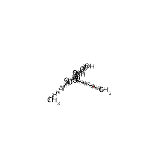 CCCCCCCCCCCCCC(=O)OCC(COC(=O)NCCOCCO)OC(=O)CCCCCCCCCCCCC